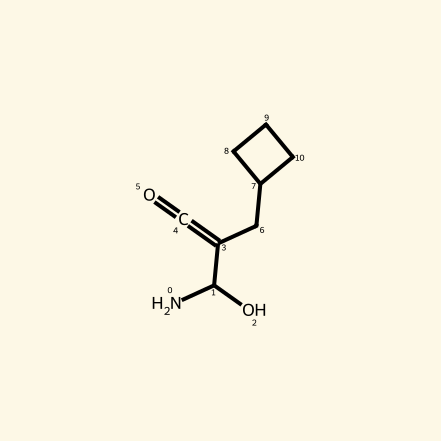 NC(O)C(=C=O)CC1CCC1